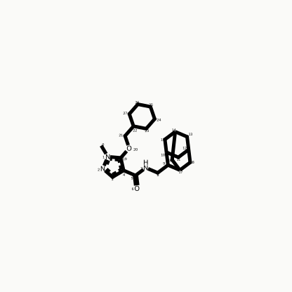 Cn1ncc(C(=O)NCC2C3CC4CC(C3)CC2C4)c1OCC1CCCCC1